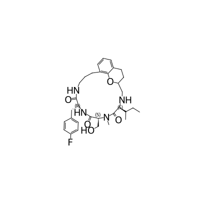 CCC(C)[C@@H]1NCC2CCc3cccc(c3O2)CCCNC(=O)[C@@H](Cc2ccc(F)cc2)NC(=O)[C@H](CO)N(C)C1=O